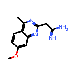 COc1ccc2c(C)nc(CC(=N)N)nc2c1